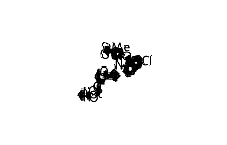 COC(=O)c1ccc2c(c1)N(C[C@@H]1CC[C@H]1[C@H]1C[C@@H](OC[C@@H](C)S(=O)(=O)c3ncccn3)CCO1)C[C@@]1(CCCc3cc(Cl)ccc31)CO2